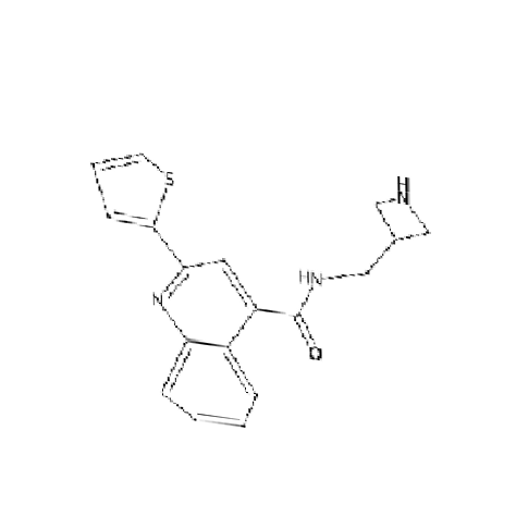 O=C(NCC1CNC1)c1cc(-c2cccs2)nc2ccccc12